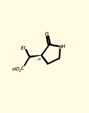 CCC(C(=O)O)[C@@H]1CCNC1=O